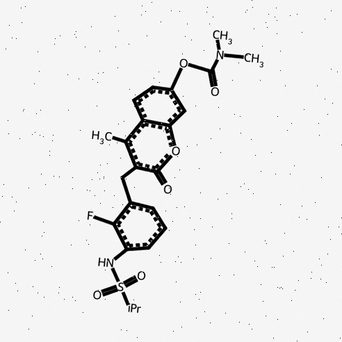 Cc1c(Cc2cccc(NS(=O)(=O)C(C)C)c2F)c(=O)oc2cc(OC(=O)N(C)C)ccc12